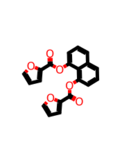 O=C(Oc1cccc2cccc(OC(=O)c3ccco3)c12)c1ccco1